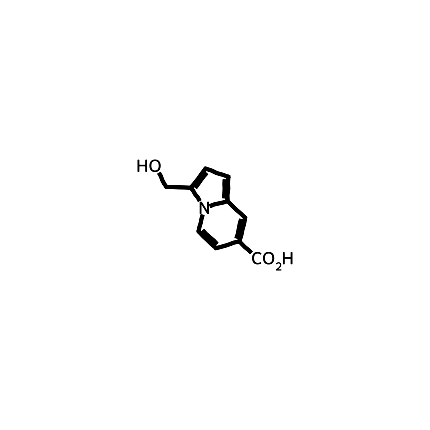 O=C(O)c1ccn2c(CO)ccc2c1